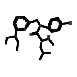 CCN(CC)c1cccc(CN(C(=O)[C@H](CC(C)C)NC)c2ccc(Cl)cc2)n1